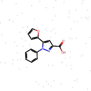 O=C(O)c1cc(-c2ccco2)n(-c2ccccc2)n1